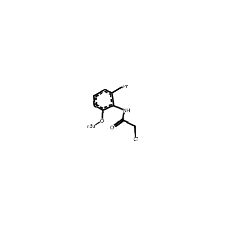 CCCCOc1cccc(C(C)C)c1NC(=O)CCl